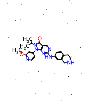 COc1cc(-n2c3nc(Nc4ccc5c(c4)CNCC5)ncc3c(=O)n2C(C)C)ccn1